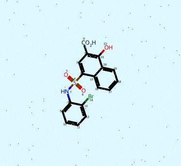 O=C(O)c1cc(S(=O)(=O)Nc2ccccc2Br)c2ccccc2c1O